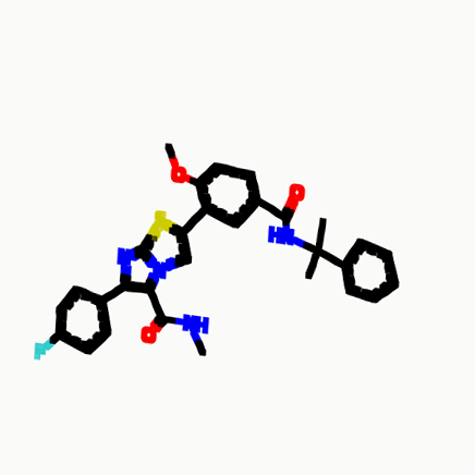 CNC(=O)c1c(-c2ccc(F)cc2)nc2sc(-c3cc(C(=O)NC(C)(C)c4ccccc4)ccc3OC)cn12